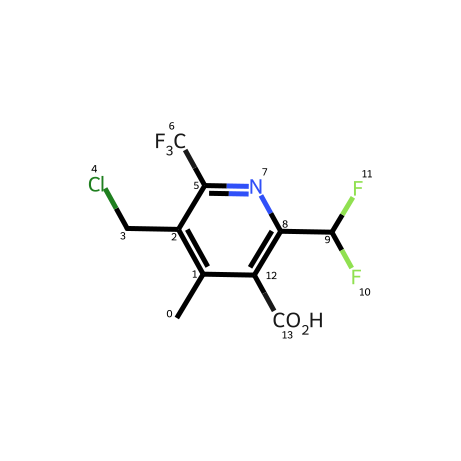 Cc1c(CCl)c(C(F)(F)F)nc(C(F)F)c1C(=O)O